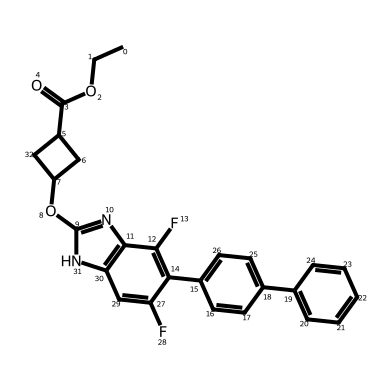 CCOC(=O)C1CC(Oc2nc3c(F)c(-c4ccc(-c5ccccc5)cc4)c(F)cc3[nH]2)C1